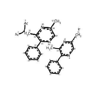 CC(=O)CC(C)=O.Cc1cnc(-c2ccccc2)c(C)n1.Cc1cnc(-c2ccccc2)c(C)n1.[Ir]